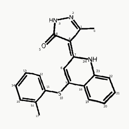 CC1=NNC(=O)C1=C1C=C(Sc2ccccc2C)c2ccccc2N1